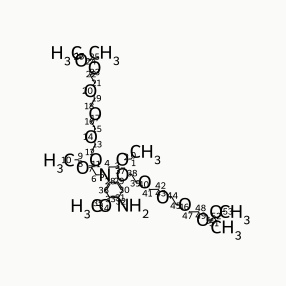 CCOC(CN(CC(OCC)OCCOCCOCCOCCOC(C)OC)c1ccc(N)c(OC)c1)OCCOCCOCCOCCOC(C)OC